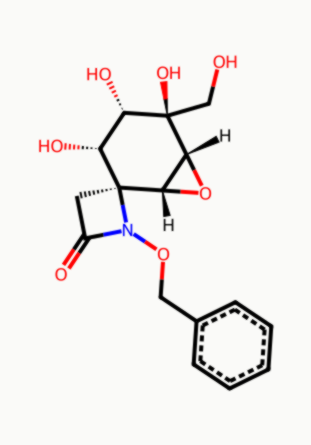 O=C1C[C@@]2([C@H](O)[C@H](O)[C@](O)(CO)[C@@H]3O[C@@H]32)N1OCc1ccccc1